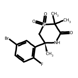 CC1(C)C(=O)N[C@](C)(c2cc(Br)ccc2F)CS1(=O)=O